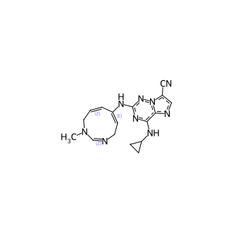 CN1/C=N\C/C=C(Nc2nc(NC3CC3)c3ncc(C#N)n3n2)\C=C/C1